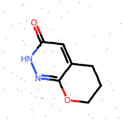 O=c1cc2c(n[nH]1)OCCC2